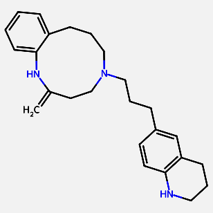 C=C1CCN(CCCc2ccc3c(c2)CCCN3)CCCc2ccccc2N1